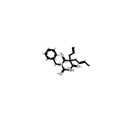 C=CCC1(CC=CC)C(=O)NC(=O)N(Cc2ccccc2)C1=O